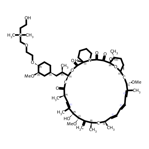 C=C1[C@H](C)C[C@H](C)/C=C/C=C/C=C(\C)[C@@H](OC)C[C@@H]2CC[C@@H](C)[C@@](O)(O2)C(=O)C(=O)N2CCCC[C@H]2C(=O)O[C@H]([C@H](C)C[C@@H]2CC[C@@H](OCCOC[Si](C)(C)CCO)[C@H](OC)C2)CC(=O)[C@H](C)/C=C(\C)[C@@H](O)[C@H]1OC